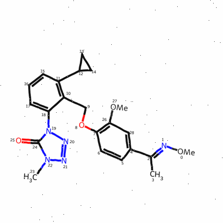 CON=C(C)c1ccc(OCc2c(C3CC3)cccc2-n2nnn(C)c2=O)c(OC)c1